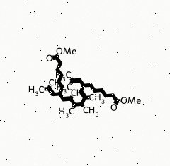 COC(=O)CCCCCC(C=C(C)C)C=C(C)C(C)C(C)C(C)=CC(C=C(C)C)CCCCCC(=O)OC